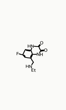 [CH2]CNCc1cc(F)cc2[nH]c(=O)c(=O)[nH]c12